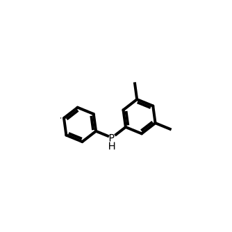 Cc1cc(C)cc(Pc2cc[c]cc2)c1